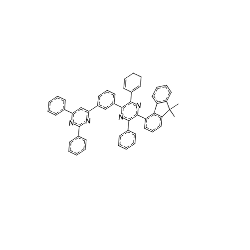 CC1(C)c2ccccc2-c2c(-c3nc(C4=CCCC=C4)c(-c4cccc(-c5cc(-c6ccccc6)nc(-c6ccccc6)n5)c4)nc3-c3ccccc3)cccc21